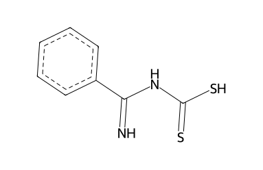 N=C(NC(=S)S)c1ccccc1